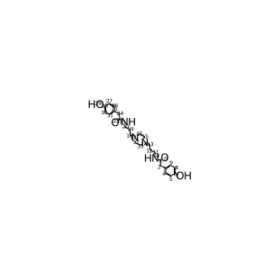 O=C(Cc1ccc(O)cc1)NCCCN1CCN(CCCNC(=O)Cc2ccc(O)cc2)CC1